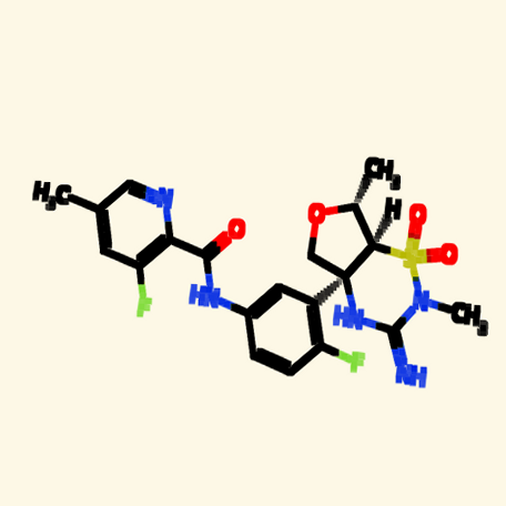 Cc1cnc(C(=O)Nc2ccc(F)c([C@]34CO[C@H](C)[C@H]3S(=O)(=O)N(C)C(=N)N4)c2)c(F)c1